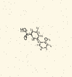 COc1c(C)cccc1-c1cc(C)cc(C(=O)O)c1